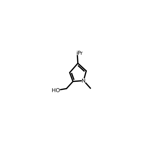 CC(C)c1cc(CO)n(C)c1